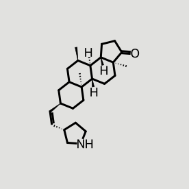 C[C@@H]1CC2C[C@H](/C=C\[C@@H]3CCNC3)CC[C@]2(C)[C@H]2CC[C@]3(C)C(=O)CC[C@H]3[C@H]12